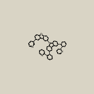 c1ccc(-c2ccccc2-c2ccc3c(c2)c2cc(-c4ccccc4-c4ccccn4)ccc2n3-c2ccc3oc4ccc(-c5cccnc5)cc4c3c2)nc1